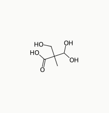 CC(CO)(C(=O)O)C(O)O